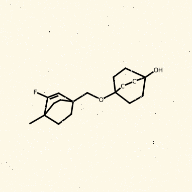 CC12CCC(COC34CCC(O)(CC3)CC4)(C=C1F)CC2